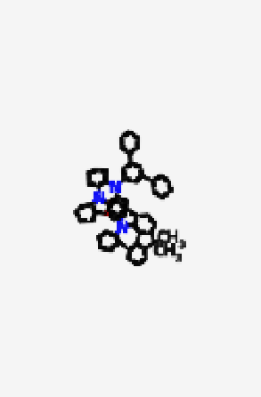 CC1(C)c2cccc3c2-c2c1ccc1c4cc(N(c5cc(-c6ccccc6)cc(-c6ccccc6)c5)c5ccccc5-n5c6ccccc6c6ccccc65)ccc4n(c21)-c1ccccc1-3